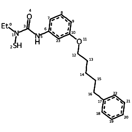 CCN(S)C(=O)Nc1cccc(OCCCCCc2ccccc2)c1